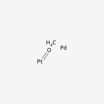 C.[O]=[Pt].[Pd]